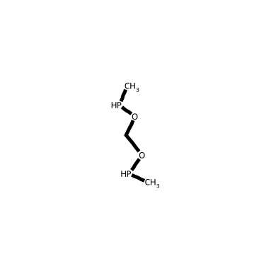 CPOCOPC